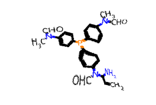 C=CC(N)N(C=O)c1ccc(P(c2ccc(N(C)C=O)cc2)c2ccc(N(C)C=O)cc2)cc1